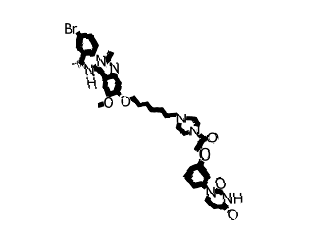 COc1cc2c(N[C@H](C)c3cccc(Br)c3)nc(C)nc2cc1OCCCCCCCN1CCN(C(=O)COc2cccc(N3CCC(=O)NC3=O)c2)CC1